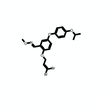 CON=Cc1cc(Oc2ccc(OC(C)C)cc2)ccc1OCC=C(Br)Br